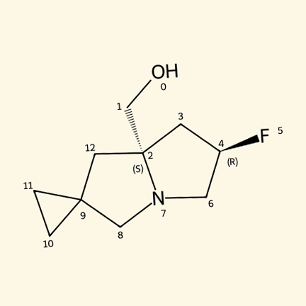 OC[C@]12C[C@@H](F)CN1CC1(CC1)C2